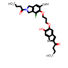 COc1cc2c(c(F)c1OCCCOc1cc3cc(C(=O)CCC(=O)O)[se]c3cc1O)CN(C(=O)CCC(=O)O)C2